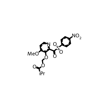 COc1ccnc(C(=O)S(=O)(=O)c2ccc([N+](=O)[O-])cc2)c1OCOC(=O)C(C)C